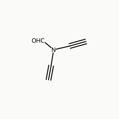 C#CN(C#C)C=O